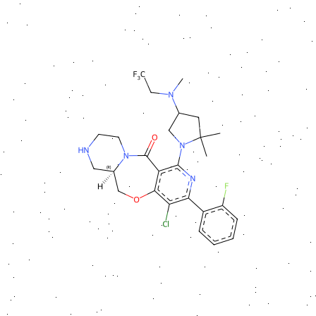 CN(CC(F)(F)F)C1CN(c2nc(-c3ccccc3F)c(Cl)c3c2C(=O)N2CCNC[C@@H]2CO3)C(C)(C)C1